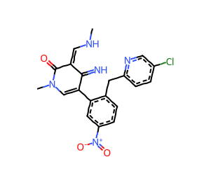 CN/C=C1\C(=N)C(c2cc([N+](=O)[O-])ccc2Cc2ccc(Cl)cn2)=CN(C)C1=O